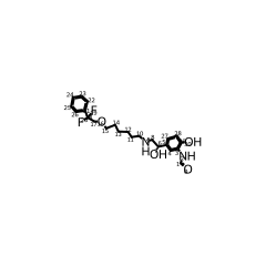 O=CNc1cc([C@@H](O)CNCCCCCCOCC(F)(F)c2ccccc2)ccc1O